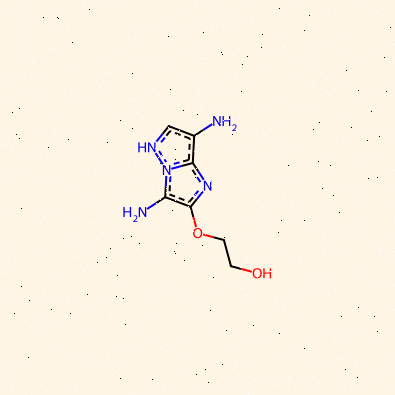 Nc1c[nH]n2c(N)c(OCCO)nc12